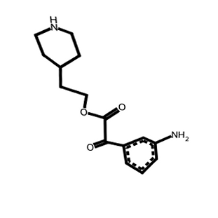 Nc1cccc(C(=O)C(=O)OCCC2CCNCC2)c1